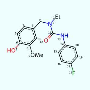 [CH2]CN(Cc1ccc(O)c(OC)c1)C(=O)Nc1ccc(F)cc1